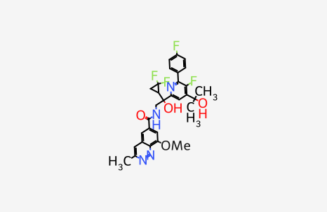 COc1cc(C(=O)NCC(O)(c2cc(C(C)(C)O)c(F)c(-c3ccc(F)cc3)n2)C2CC2(F)F)cc2cc(C)nnc12